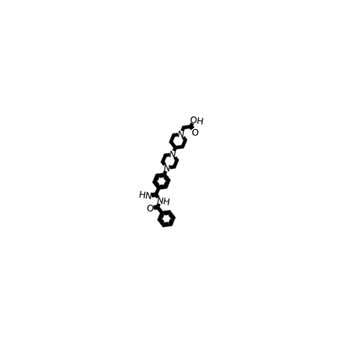 N=C(NC(=O)c1ccccc1)c1ccc(N2CCN(C3CCN(CC(=O)O)CC3)CC2)cc1